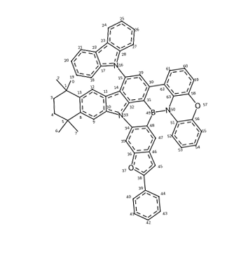 CC1(C)CCC(C)(C)c2cc3c(cc21)c1c(-n2c4ccccc4c4ccccc42)cc2c4c1n3-c1cc3oc(-c5ccccc5)cc3cc1B4N1c3ccccc3Oc3cccc-2c31